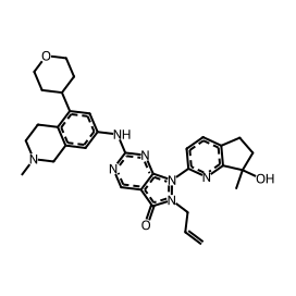 C=CCn1c(=O)c2cnc(Nc3cc4c(c(C5CCOCC5)c3)CCN(C)C4)nc2n1-c1ccc2c(n1)C(C)(O)CC2